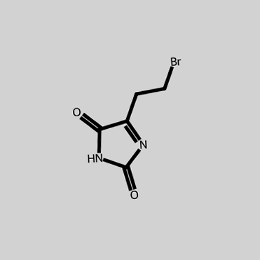 O=C1N=C(CCBr)C(=O)N1